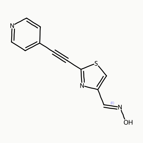 O/N=C/c1csc(C#Cc2ccncc2)n1